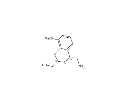 COc1cccc2c1C[C@@H](CO)O[C@H]2CN